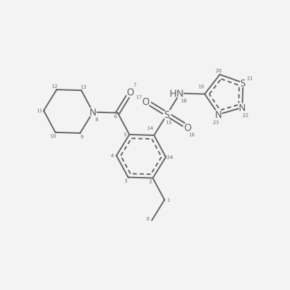 CCc1ccc(C(=O)N2CCCCC2)c(S(=O)(=O)Nc2csnn2)c1